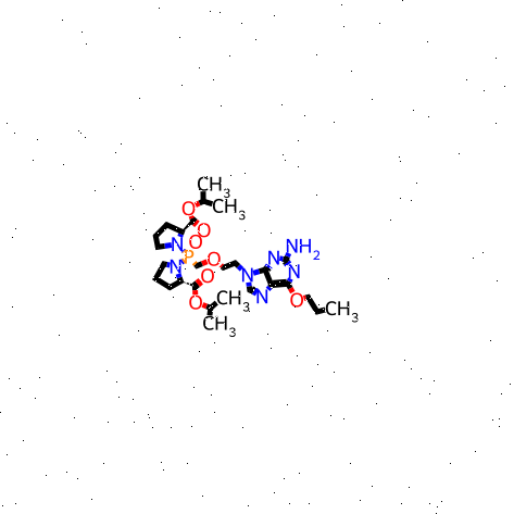 CCCOc1nc(N)nc2c1ncn2CCOCP(=O)(N1CCC[C@H]1C(=O)OC(C)C)N1CCC[C@H]1C(=O)OC(C)C